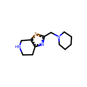 C1CCN(Cc2nc3c(s2)CNCC3)CC1